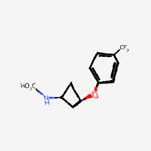 O=C(O)N[C@H]1C[C@@H](Oc2ccc(C(F)(F)F)cc2)C1